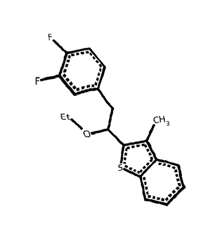 CCOC(Cc1ccc(F)c(F)c1)c1sc2ccccc2c1C